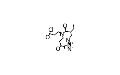 CCC(CN=[N+]=[N-])C(=O)N(CCC(=O)Cl)CCC(=O)Cl